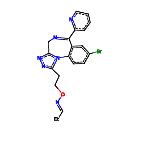 CCC=NOCCc1nnc2n1-c1ccc(Br)cc1C(c1ccccn1)=NC2